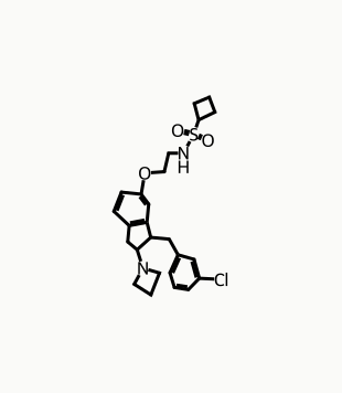 O=S(=O)(NCCOc1ccc2c(c1)C(Cc1cccc(Cl)c1)C(N1CCC1)C2)C1CCC1